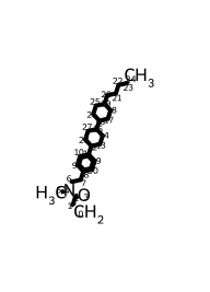 C=CC(=O)N(C)CCc1ccc(C2CCC(C3CCC(CCCCC)CC3)CC2)cc1